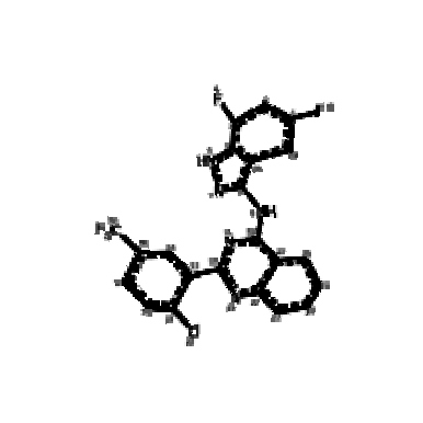 Fc1cc(F)c2[nH]nc(Nc3nc(-c4cc(C(F)(F)F)ccc4Cl)nc4ccccc34)c2c1